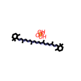 CC1=C(/C=C/C(C)=C/C=C/C(C)=C/C=C/C=C(C)/C=C/C=C(C)/C=C/C2=C(C)CCCC2(C)C)C(C)(C)CCC1.O=S(=O)(O)O